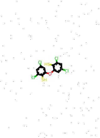 Sc1c(Cl)cc(Cl)cc1Oc1cc(Cl)cc(Cl)c1S